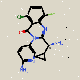 Nc1ccc(-n2c([C@@H](N)C3CC3)nc3c(F)ccc(Cl)c3c2=O)cn1